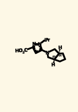 CC(C)n1nc(C(=O)O)cc1N1C[C@H]2CCC[C@H]2C1